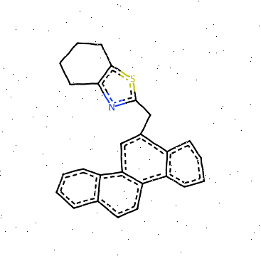 c1ccc2c(c1)ccc1c3ccccc3c(Cc3nc4c(s3)CCCC4)cc21